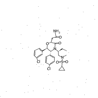 CC[C@@H](CN(C)S(=O)(=O)C1CC1)N1C(=O)[C@H](CC(N)=O)O[C@H](c2cccc(Cl)c2)[C@H]1c1ccc(Cl)cc1